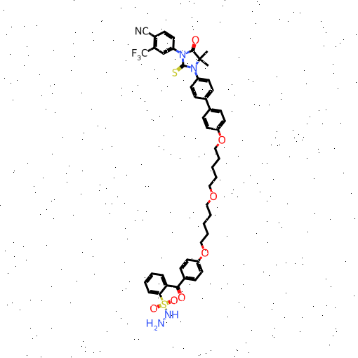 CC1(C)C(=O)N(c2ccc(C#N)c(C(F)(F)F)c2)C(=S)N1c1ccc(-c2ccc(OCCCCCOCCCCCOc3ccc(C(=O)c4ccccc4S(=O)(=O)NN)cc3)cc2)cc1